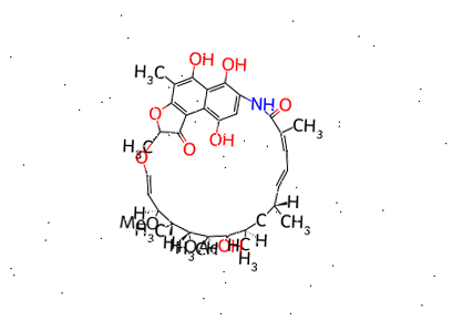 CO[C@H]1/C=C/O[C@@]2(C)Oc3c(C)c(O)c4c(O)c(cc(O)c4c3C2=O)NC(=O)/C(C)=C\C=C\[C@H](C)C[C@@H](C)[C@@H](O)[C@@H](C)[C@H](OC(C)=O)[C@@H]1C